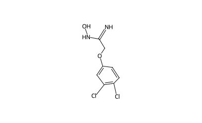 N=C(COc1ccc(Cl)c(Cl)c1)NO